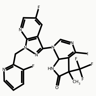 CC1(C(F)(F)F)C(=O)NC2C1=C(I)N=CN2c1nn(Cc2ncccc2F)c2ncc(F)cc12